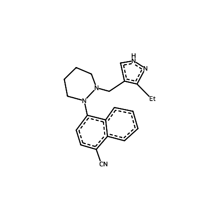 CCc1n[nH]cc1CN1CCCCN1c1ccc(C#N)c2ccccc12